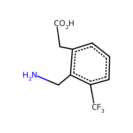 NCc1c(CC(=O)O)cccc1C(F)(F)F